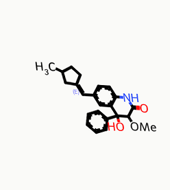 COC1C(=O)Nc2ccc(/C=C3\CCC(C)C3)cc2C1(O)c1ccccc1